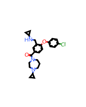 O=C(c1ccc(Oc2ccc(Cl)cc2)c(CNC2CC2)c1)N1CCCN(C2CC2)CC1